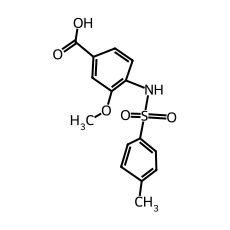 COc1cc(C(=O)O)ccc1NS(=O)(=O)c1ccc(C)cc1